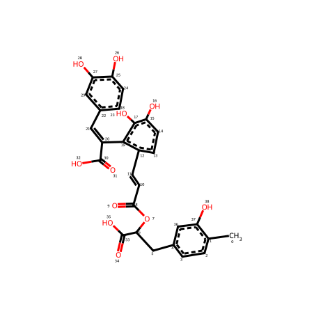 Cc1ccc(CC(OC(=O)/C=C/c2ccc(O)c(O)c2/C(=C\c2ccc(O)c(O)c2)C(=O)O)C(=O)O)cc1O